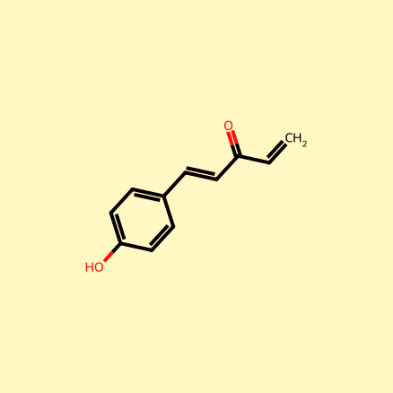 C=CC(=O)C=Cc1ccc(O)cc1